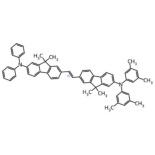 Cc1cc(C)cc(N(c2cc(C)cc(C)c2)c2ccc3c(c2)C(C)(C)c2cc(/C=C/c4ccc5c(c4)C(C)(C)c4cc(N(c6ccccc6)c6ccccc6)ccc4-5)ccc2-3)c1